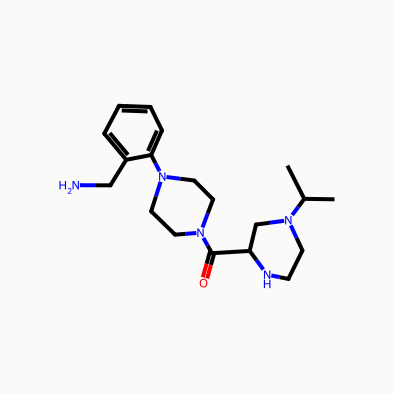 CC(C)N1CCNC(C(=O)N2CCN(c3ccccc3CN)CC2)C1